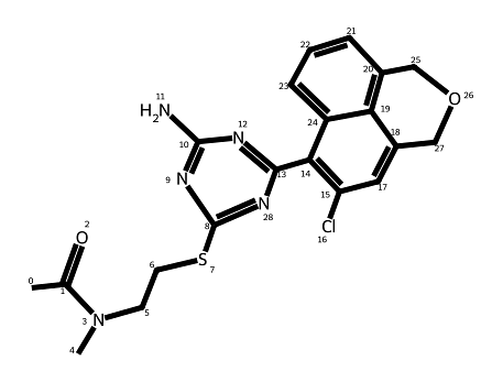 CC(=O)N(C)CCSc1nc(N)nc(-c2c(Cl)cc3c4c(cccc24)COC3)n1